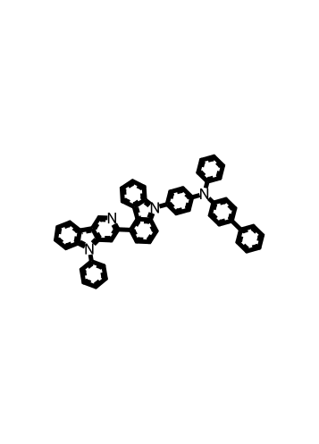 c1ccc(-c2ccc(N(c3ccccc3)c3ccc(-n4c5ccccc5c5c(-c6cc7c(cn6)c6ccccc6n7-c6ccccc6)cccc54)cc3)cc2)cc1